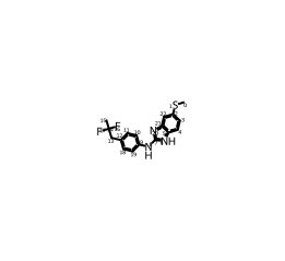 CSc1ccc2[nH]c(Nc3ccc(CC(C)(F)F)cc3)nc2c1